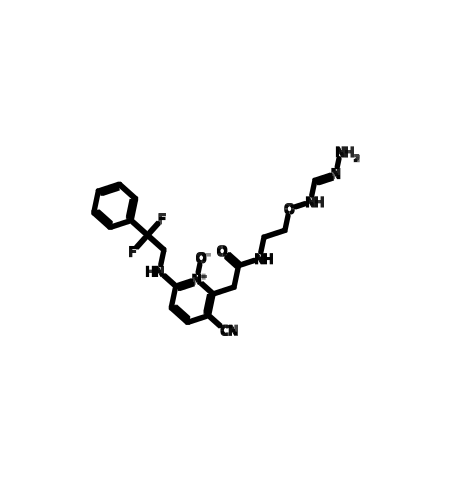 N#Cc1ccc(NCC(F)(F)c2ccccc2)[n+]([O-])c1CC(=O)NCCONC=NN